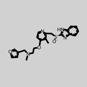 Cc1c(OCCN(C)Cc2ccoc2)ccnc1C[S+]([O-])c1nc2ccccc2[nH]1